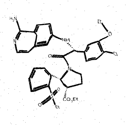 CCOC(=O)[C@H]1CCN(C(=O)[C@H](Nc2ccc3c(N)nccc3c2)c2ccc(Cl)c(OCC)c2)[C@H]1c1ccccc1S(=O)(=O)CC